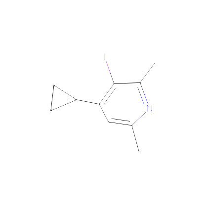 Cc1cc(C2CC2)c(I)c(C)n1